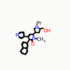 CC(C)N1CC(C2C=C(c3ccncc3)C(c3ccc4ccccc4c3)C(=O)N2C)CC1CO